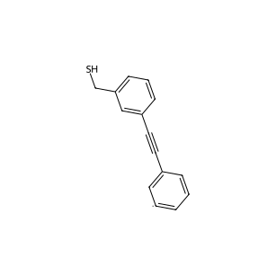 SCc1cccc(C#Cc2c[c]ccc2)c1